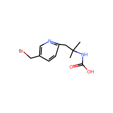 CC(C)(Cc1ccc(CBr)cn1)NC(=O)O